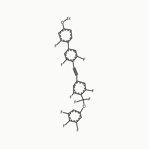 CCOc1ccc(-c2cc(F)c(C#Cc3cc(F)c(C(F)(F)Oc4cc(F)c(F)c(F)c4)c(F)c3)c(F)c2)c(F)c1